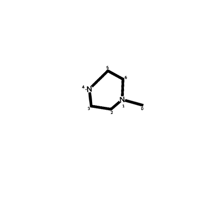 CN1CC[N]CC1